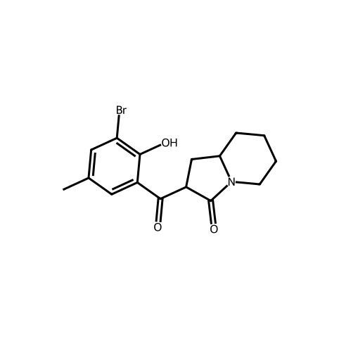 Cc1cc(Br)c(O)c(C(=O)C2CC3CCCCN3C2=O)c1